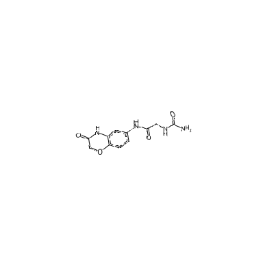 NC(=O)NCC(=O)Nc1ccc2c(c1)NC(=O)CO2